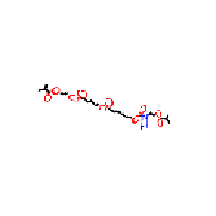 C=C(C)C(=O)OCCNC(=O)OCCCCC(=O)OCCCCC(=O)OCCOC(=O)C(=C)C